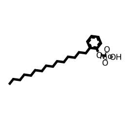 CCCCCCCCCCCCCCCc1ccccc1[O][Mo](=[O])(=[O])[OH]